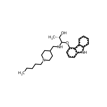 CCCCCN1CCC(CNC(Oc2cccc3[nH]c4ccccc4c23)[C@H](C)O)CC1